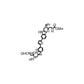 CCCN(Cc1nc2ccc(-c3ccc(-c4ccc5nc(CN(CCC)C(=O)CNC(=O)OC)[nH]c5c4)s3)cc2[nH]1)C(=O)CNC=O